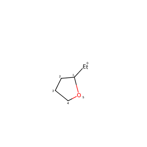 CC[C]1CCCO1